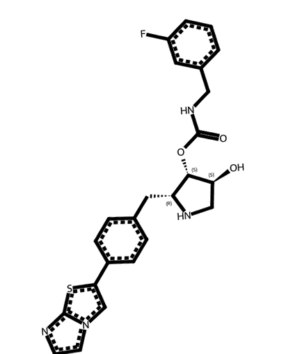 O=C(NCc1cccc(F)c1)O[C@@H]1[C@@H](O)CN[C@@H]1Cc1ccc(-c2cn3ccnc3s2)cc1